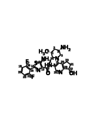 C[C@@H]1C[C@H](N)CN(c2c(NC(=O)c3nc(-c4c(F)cccc4F)sc3N)cnc3c2CCC3O)C1